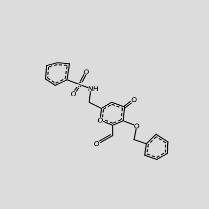 O=Cc1oc(CNS(=O)(=O)c2ccccc2)cc(=O)c1OCc1ccccc1